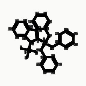 C[Si](C)(C)C1[C]([Zr]([CH2]c2ccccc2)([CH2]c2ccccc2)[CH2]c2ccccc2)=Cc2ccccc21